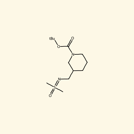 CC(C)(C)OC(=O)N1CCCC(CN=S(C)(C)=O)C1